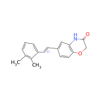 Cc1cccc(/C=C/c2ccc3c(c2)NC(=O)CO3)c1C